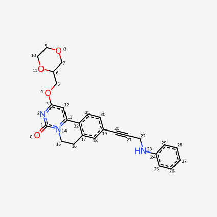 O=c1nc(OCC2COCCO2)cc2n1CCc1cc(C#CCNc3ccccc3)ccc1-2